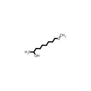 COCCCCCCCC(N)O